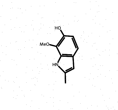 COc1c(O)ccc2cc(C)[nH]c12